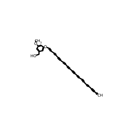 C#CC#CC#CC#CC#CC#CC#CC#CC#CC#CC#COc1cc(CO)cc(OC)c1